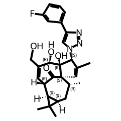 CC1=C[C@]23C(=O)[C@@H](C=C(CO)[C@@H](O)[C@]2(O)[C@H]1n1cc(-c2cccc(F)c2)nn1)[C@H]1[C@@H](C[C@H]3C)C1(C)C